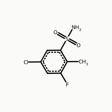 Cc1c(F)cc(Cl)cc1S(N)(=O)=O